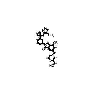 Cn1cnnc1CC1(c2cccc(N3Cc4c(cc(CN5CCOC(CO)C5)cc4C(F)(F)F)C3=O)c2)COC1